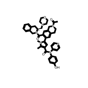 CC(=O)N1CCc2cc(-c3cc(C(=O)N(c4ccncc4)c4ccc(O)cc4)c(C)n3C)c(C(=O)N3Cc4ccccc4C[C@H]3CN3CCOCC3)cc2C1